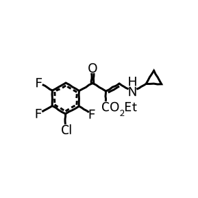 CCOC(=O)/C(=C\NC1CC1)C(=O)c1cc(F)c(F)c(Cl)c1F